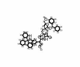 COCC=CC1(C(=O)OC(c2ccccc2)c2ccccc2)CS[C@@H]2C(NC(=O)C(=NOC)c3csc(NC(c4ccccc4)(c4ccccc4)c4ccccc4)n3)C(=O)N2C1